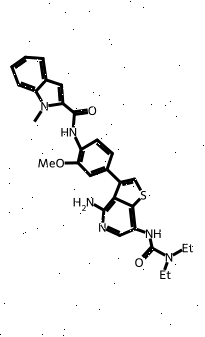 CCN(CC)C(=O)Nc1cnc(N)c2c(-c3ccc(NC(=O)c4cc5ccccc5n4C)c(OC)c3)csc12